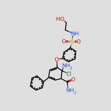 NC(=O)C1C=C(c2ccccc2)C=C(Oc2cccc(S(=O)(=O)NCCO)c2)C1(N)Cl